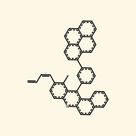 C=C/C=C\c1ccc2nc3ccc4ccccc4c3c(-c3cccc(-c4ccc5ccc6cccc7ccc4c5c67)c3)c2c1C